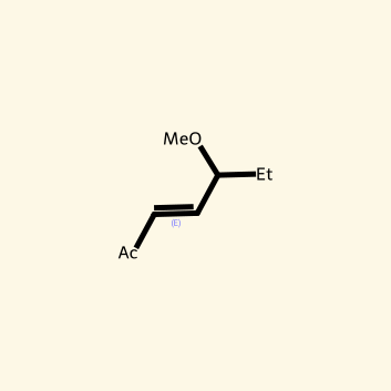 CCC(/C=C/C(C)=O)OC